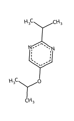 CC(C)Oc1cnc(C(C)C)nc1